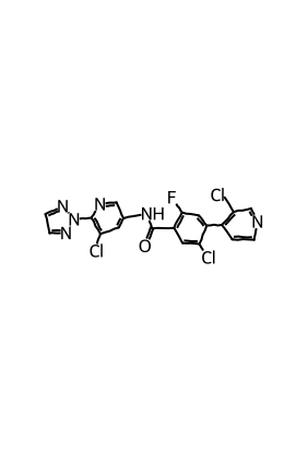 O=C(Nc1cnc(-n2nccn2)c(Cl)c1)c1cc(Cl)c(-c2ccncc2Cl)cc1F